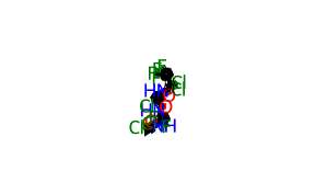 CC1(C(=O)Nc2c(F)ccc(NC(=O)c3cc(NC(=O)[C@H]4[C@H](c5ccc(F)c(C(F)(F)F)c5)C4(Cl)Cl)ccc3Cl)c2F)CC1(Cl)Cl